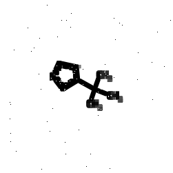 CC(C)(C)c1[c]csc1